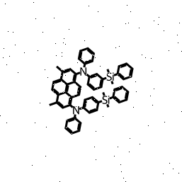 Cc1cc(N(c2ccccc2)c2ccc([Si](C)(C)c3ccccc3)cc2)c2ccc3c(N(c4ccccc4)c4cccc([Si](C)(C)c5ccccc5)c4)cc(C)c4ccc1c2c43